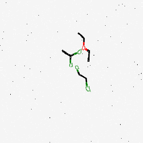 CC(Cl)Cl.CCOCC.ClCCCl